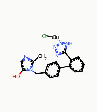 CCCCCl.Cc1ncc(O)n1Cc1ccc(-c2ccccc2-c2nnn[nH]2)cc1